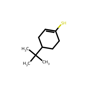 CC(C)(C)C1CC=C(S)CC1